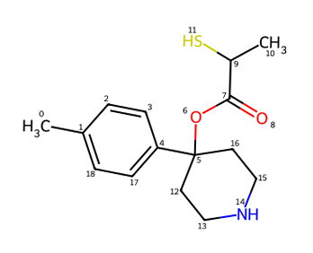 Cc1ccc(C2(OC(=O)C(C)S)CCNCC2)cc1